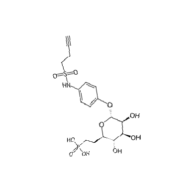 C#CCCS(=O)(=O)Nc1ccc(O[C@H]2O[C@H](CCP(=O)(O)O)[C@@H](O)[C@H](O)[C@@H]2O)cc1